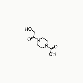 O=C(O)N1CCN(C(=O)CO)CC1